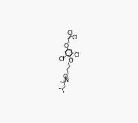 C/C(CC(C)C)=N\OCCCCOc1c(Cl)cc(OCC=C(Cl)Cl)cc1Cl